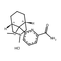 COC1(c2cccc(C(N)=O)n2)[C@@H]2CCC[C@H]1CN(C)C2.Cl